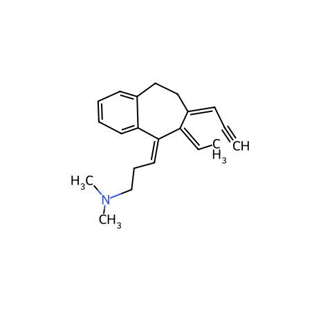 C#C/C=C1/CCc2ccccc2C(=C\CCN(C)C)/C1=C/C